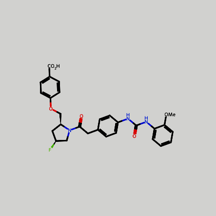 COc1ccccc1NC(=O)Nc1ccc(CC(=O)N2C[C@@H](F)C[C@H]2COc2ccc(C(=O)O)cc2)cc1